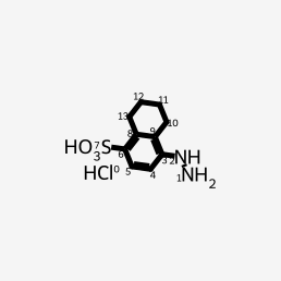 Cl.NNc1ccc(S(=O)(=O)O)c2c1CCCC2